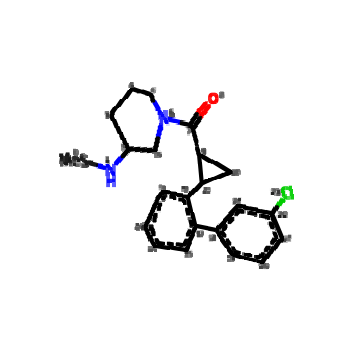 CSNC1CCCN(C(=O)C2CC2c2ccccc2-c2cccc(Cl)c2)C1